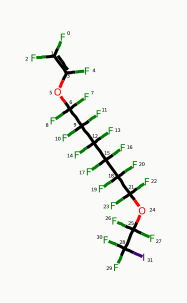 FC(F)=C(F)OC(F)(F)C(F)(F)C(F)(F)C(F)(F)C(F)(F)C(F)(F)OC(F)(F)C(F)(F)I